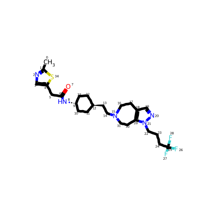 Cc1ncc(CC(=O)N[C@H]2CC[C@H](CCN3CCc4cnn(CCCC(F)(F)F)c4CC3)CC2)s1